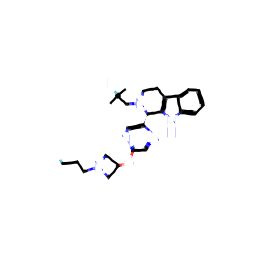 C[C@@H]1Cc2c([nH]c3ccccc23)[C@@H](c2cnc(OC3CN(CCCF)C3)cn2)N1CC(C)(C)F